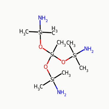 C[Si](C)(N)O[Si](C)(O[Si](C)(C)N)O[Si](C)(C)N